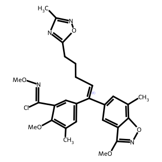 CON=C(Cl)c1cc(/C(=C\CCCc2nc(C)no2)c2cc(C)c3onc(OC)c3c2)cc(C)c1OC